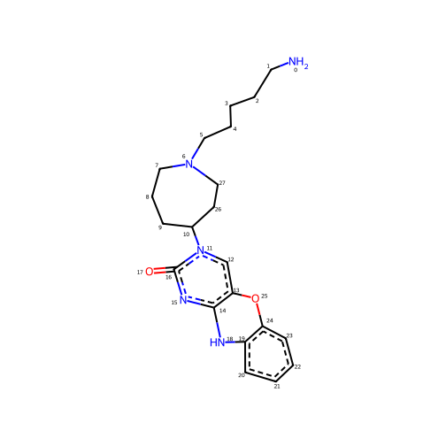 NCCCCCN1CCCC(n2cc3c(nc2=O)Nc2ccccc2O3)CC1